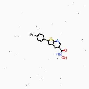 CC(C)c1ccc(-c2cc3cc(C(=O)NO)cnc3s2)cc1